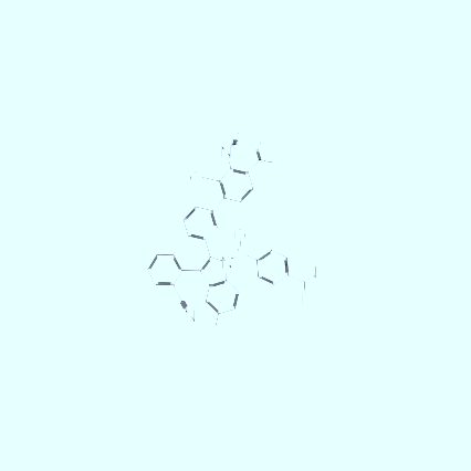 COC(=O)c1ccc(-c2cccc(-c3c(-c4ccccc4C#N)c4cc(F)ccc4n3[S+]([O-])c3ccc(C(F)F)cc3)c2)c(Cl)c1N=O